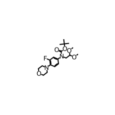 COC(CN(C(=O)OC(C)(C)C)c1ccc(N2CCOCC2)c(F)c1)OC